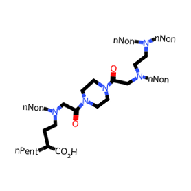 CCCCCCCCCN(CCCCCCCCC)CCN(CCCCCCCCC)CC(=O)N1CCN(C(=O)CN(CCCCCCCCC)CCC(CCCCC)C(=O)O)CC1